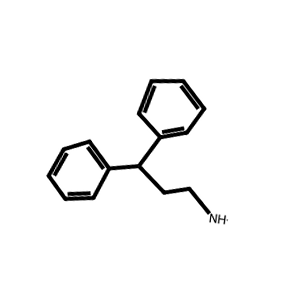 [NH]CCC(c1ccccc1)c1ccccc1